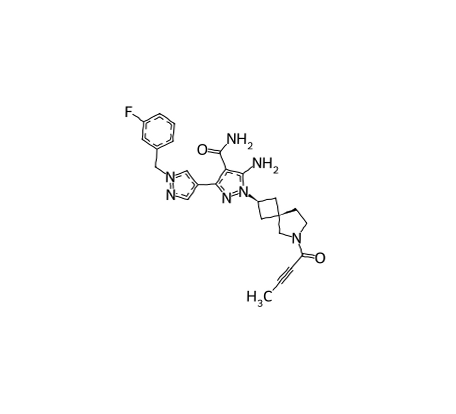 CC#CC(=O)N1CC[C@]2(C1)C[C@H](n1nc(-c3cnn(Cc4cccc(F)c4)c3)c(C(N)=O)c1N)C2